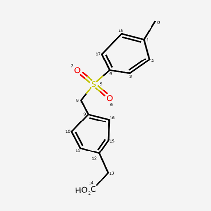 Cc1ccc(S(=O)(=O)[CH]c2ccc(CC(=O)O)cc2)cc1